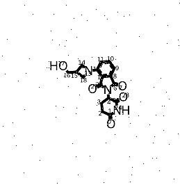 O=C1CCC(N2C(=O)c3cccc(N4CC(CO)C4)c3C2=O)C(=O)N1